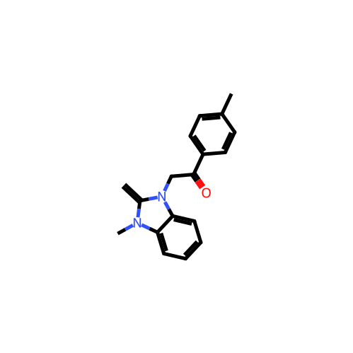 C=C1N(C)c2ccccc2N1CC(=O)c1ccc(C)cc1